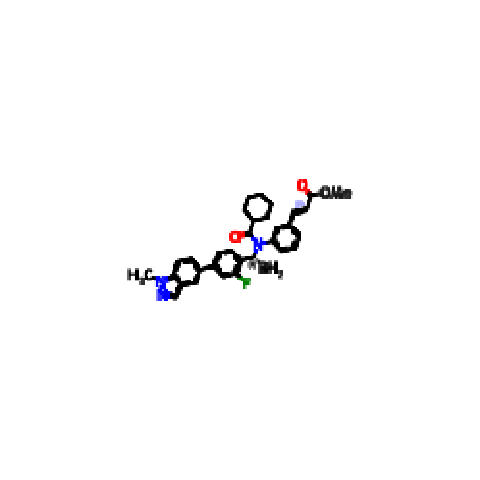 B[C@H](c1ccc(-c2ccc3c(cnn3C)c2)cc1F)N(C(=O)C1CCCCC1)c1cccc(/C=C/C(=O)OC)c1